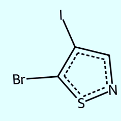 Brc1sncc1I